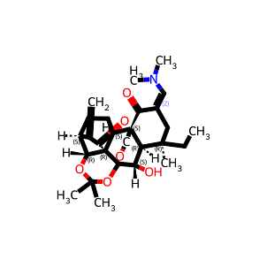 C=C1C(=O)[C@@]23[C@@H]4OC(C)(C)OC25OC[C@]2(C(=O)/C(=C\N(C)C)C[C@@](C)(CC)[C@H]2[C@@H]5O)[C@@H]3CC[C@@H]14